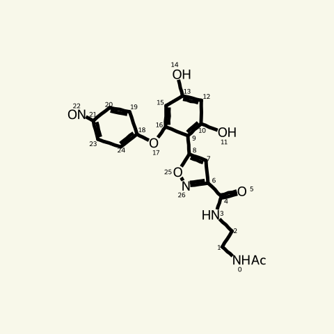 CC(=O)NCCNC(=O)c1cc(-c2c(O)cc(O)cc2Oc2ccc(N=O)cc2)on1